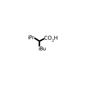 CCC(C)C(C(=O)O)C(C)C